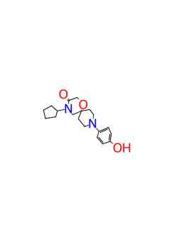 O=C1COC2(CCN(c3ccc(O)cc3)CC2)CN1C1CCCC1